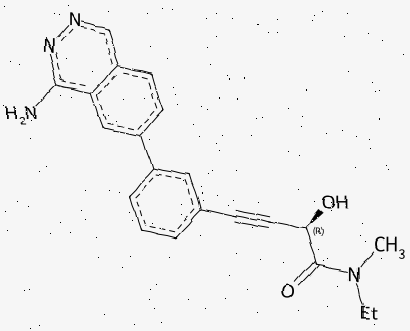 CCN(C)C(=O)[C@H](O)C#Cc1cccc(-c2ccc3cnnc(N)c3c2)c1